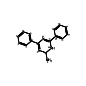 NC1N=C(c2ccccc2)N=C(c2ccccc2)N1